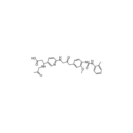 COc1cc(CC(=O)CNc2ccc(C(CC(=O)O)NCC(C)=O)cn2)ccc1NC(=O)Nc1ccccc1C